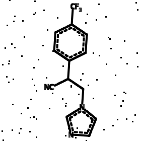 N#CC(Cn1ccnc1)c1ccc(C(F)(F)F)cc1